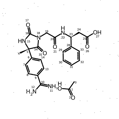 CC(=O)O.C[C@@]1(c2ccc(C(=N)N)cc2)NC(=O)N(CC(=O)N[C@@H](CC(=O)O)c2ccccc2)C1=O